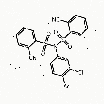 CC(=O)c1ccc(N(S(=O)(=O)c2ccccc2C#N)S(=O)(=O)c2ccccc2C#N)cc1Cl